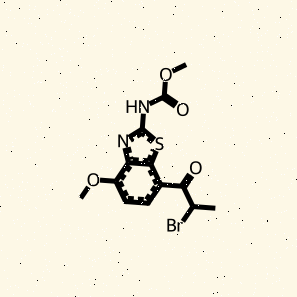 COC(=O)Nc1nc2c(OC)ccc(C(=O)C(C)Br)c2s1